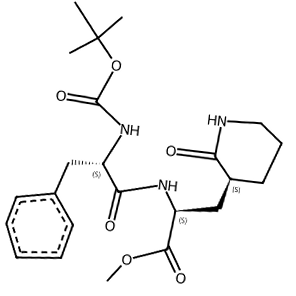 COC(=O)[C@H](C[C@@H]1CCCNC1=O)NC(=O)[C@H](Cc1ccccc1)NC(=O)OC(C)(C)C